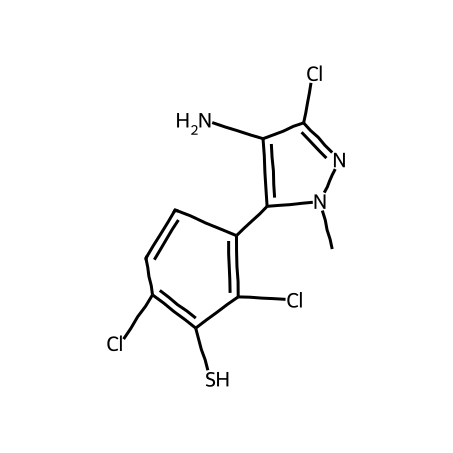 Cn1nc(Cl)c(N)c1-c1ccc(Cl)c(S)c1Cl